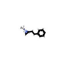 CC(=O)N1CC1CCc1ccccc1